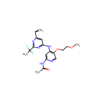 C=Cc1cc(Nc2cc(NC(C)=O)ncc2OCCOC)nc(C(C)(F)F)n1